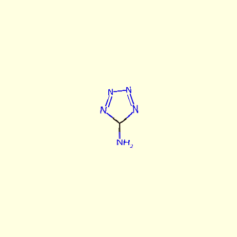 NC1N=NN=N1